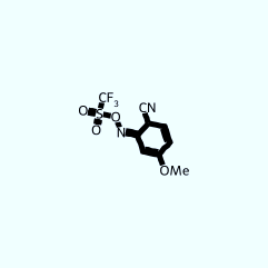 COC1=CC(=NOS(=O)(=O)C(F)(F)F)C(C#N)C=C1